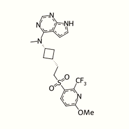 COc1ccc(S(=O)(=O)CC[C@H]2C[C@@H](N(C)c3ncnc4[nH]ccc34)C2)c(C(F)(F)F)n1